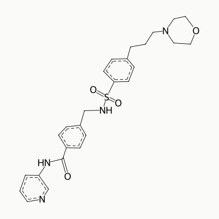 O=C(Nc1cccnc1)c1ccc(CNS(=O)(=O)c2ccc(CCCN3CCOCC3)cc2)cc1